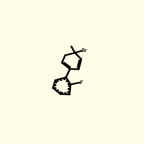 CC1(Br)C=CC(c2ccccc2F)=CC1